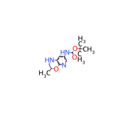 C[C@H]1CNc2cc(NC(=O)OC(C)(C)C)cnc2O1